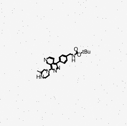 C[C@H]1CN(c2nnc(-c3ccc(CNC(=O)OC(C)(C)C)cc3)c3ccncc23)CCN1